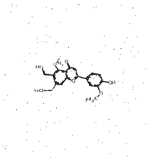 COc1cc(-c2cc(=O)c3c(OC)c(CO)c(CO)cc3o2)ccc1O